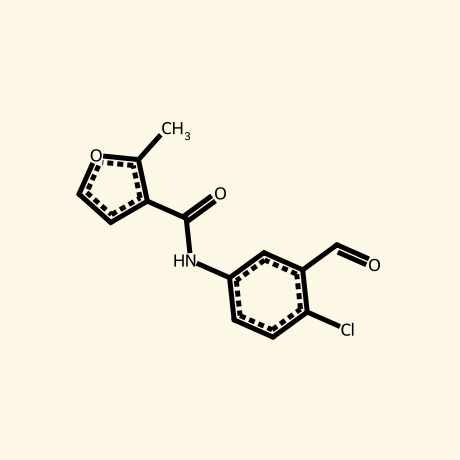 Cc1occc1C(=O)Nc1ccc(Cl)c(C=O)c1